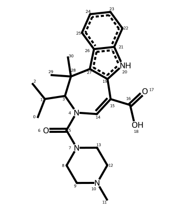 CC(C)C1N(C(=O)N2CCN(C)CC2)C=C(C(=O)O)c2[nH]c3ccccc3c2C1(C)C